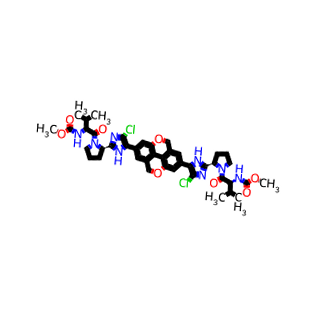 COC(=O)NC(C(=O)N1CCC[C@H]1c1nc(Cl)c(-c2cc3c4c(c2)OCc2cc(-c5[nH]c([C@@H]6CCCN6C(=O)[C@@H](NC(=O)OC)C(C)C)nc5Cl)cc(c2-4)OC3)[nH]1)C(C)C